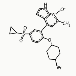 Cc1cc(-c2cc(S(=O)(=O)C3CC3)ccc2O[C@H]2CC[C@H](C(C)C)CC2)c2cc[nH]c2[n+]1[O-]